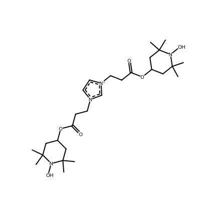 CC1(C)CC(OC(=O)CCn2cc[n+](CCC(=O)OC3CC(C)(C)N(O)C(C)(C)C3)c2)CC(C)(C)N1O